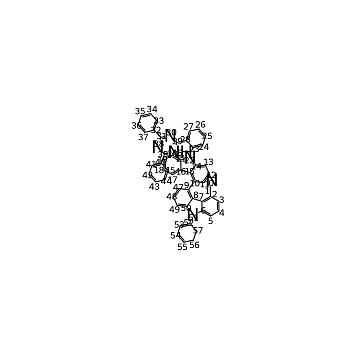 N#Cc1cccc2c1c1c(-c3cccc4c3c3ccccc3n4-c3ccccc3C3N=C(c4ccccc4)N=C(c4ccccc4)N3)cccc1n2C1=CC=CCC1